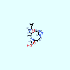 C[C@@H]1CN([C@@H](C)CO)C(=O)CCCn2cc(nn2)CO[C@@H]1CN(C)C(=O)C1CC1